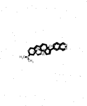 CN(C)C1CCC2=CC3=CCC4(C)C(c5ccc6cnncc6c5)=CC[C@H]4[C@@]34CC[C@]2(C1)O4